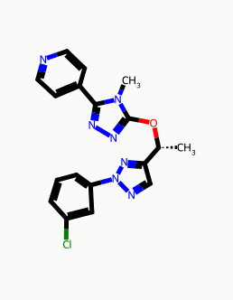 C[C@@H](Oc1nnc(-c2ccncc2)n1C)c1cnn(-c2cccc(Cl)c2)n1